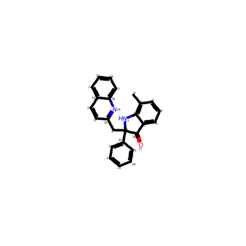 Cc1cccc2c1NC(Cc1ccc3ccccc3n1)(c1ccccc1)C2=O